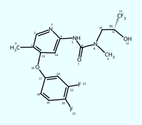 Cc1cnc(NC(=O)N(C)C[C@@H](O)C(F)(F)F)cc1Oc1ccc(F)c(F)c1